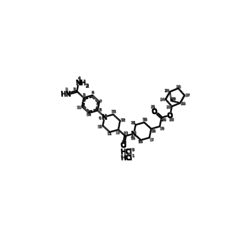 Cl.Cl.N=C(N)c1ccc(N2CCC(C(=O)N3CCC(CC(=O)OC4CC5CCC4C5)CC3)CC2)cc1